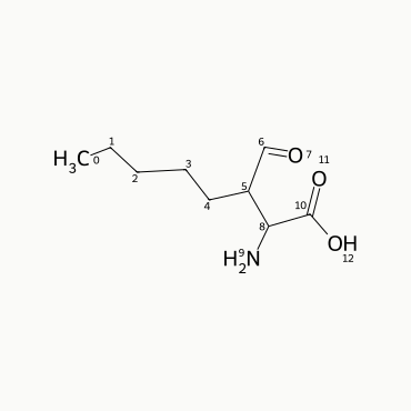 CCCCCC(C=O)C(N)C(=O)O